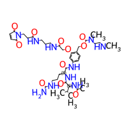 CNCCN(C)C(=O)OCc1ccc(NC(=O)[C@H](CCCNC(N)=O)NC(=O)[C@@H](NC(C)=O)C(C)C)cc1OCC(=O)NCCCNC(=O)CCN1C(=O)C=CC1=O